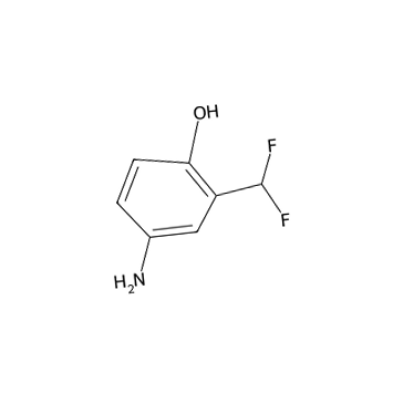 Nc1ccc(O)c(C(F)F)c1